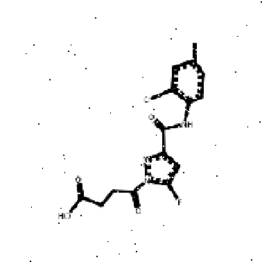 Cc1ccc(NC(=O)c2cc(F)n(C(=O)CCC(=O)O)n2)c(Cl)c1